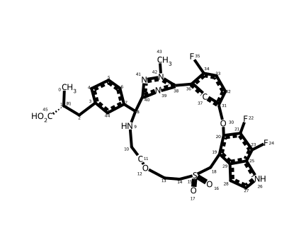 C[C@H](Cc1cccc(C2NCCOCCS(=O)(=O)Cc3c(c(F)c(F)c4[nH]ccc34)Oc3ccc(F)c(c3)-c3nc2nn3C)c1)C(=O)O